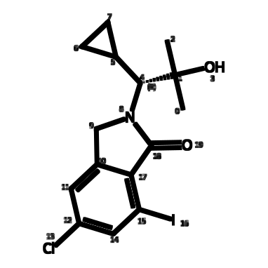 CC(C)(O)[C@@H](C1CC1)N1Cc2cc(Cl)cc(I)c2C1=O